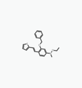 CCON(C)c1ccc(C=Cc2cccs2)c(OCc2ccccc2)c1